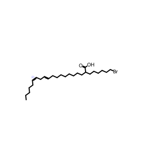 CCCCC/C=C\CC=CCCCCCCCCC(CCCCCCBr)C(=O)O